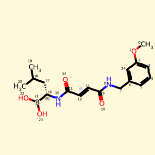 COc1cccc(CNC(=O)/C=C/C(=O)N[C@@H](CC(C)C)B(O)O)c1